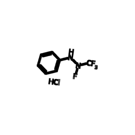 Cl.FN(Nc1ccccc1)C(F)(F)F